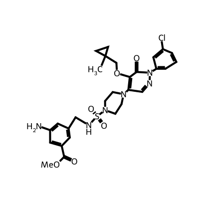 COC(=O)c1cc(N)cc(CNS(=O)(=O)N2CCN(c3cnn(-c4cccc(Cl)c4)c(=O)c3OCC3(C)CC3)CC2)c1